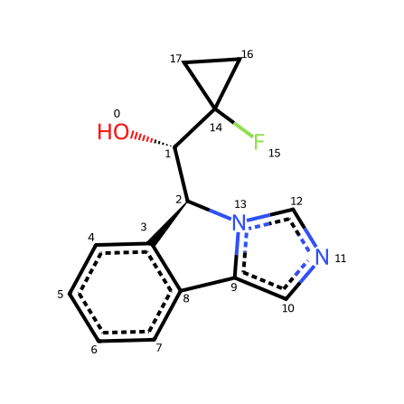 O[C@@H]([C@@H]1c2ccccc2-c2cncn21)C1(F)CC1